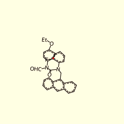 CCOc1ccc(N(C=O)C(=O)N(Cc2c3ccccc3cc3ccccc23)c2ccccc2F)cc1